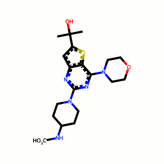 CC(C)(O)c1cc2nc(N3CCC(NC(=O)O)CC3)nc(N3CCOCC3)c2s1